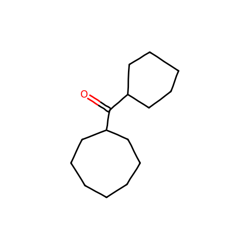 O=C(C1CCCCCCC1)C1CCCCC1